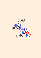 COCCNc1cc(NC(=O)N2c3nc(C=O)c(CN4CCOCC4=O)cc3C3CC2C3)ncc1C#N